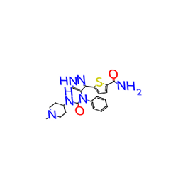 CN1CCC(NC(=O)N(c2ccccc2)c2c[nH]nc2-c2ccc(C(N)=O)s2)CC1